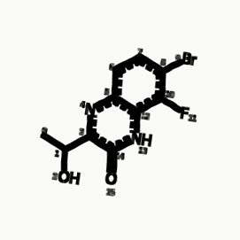 CC(O)c1nc2ccc(Br)c(F)c2[nH]c1=O